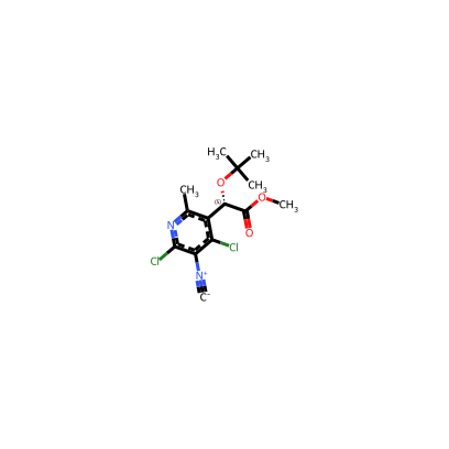 [C-]#[N+]c1c(Cl)nc(C)c([C@H](OC(C)(C)C)C(=O)OC)c1Cl